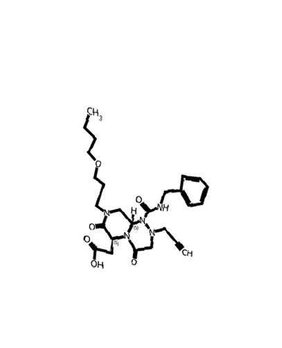 C#CCN1CC(=O)N2[C@@H](CC(=O)O)C(=O)N(CCCOCCCC)C[C@@H]2N1C(=O)NCc1ccccc1